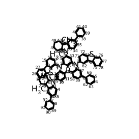 CC12CCCCC1(C)N(c1ccc3c(c1)N(c1cccc4c1sc1ccccc14)c1cc(N4c5ccc(-c6ccccc6)cc5C5(C)CCCCC45C)cc4c1B3c1ccc(-c3ccccc3)cc1N4c1ccc3sc4ccccc4c3c1)c1ccc(-c3ccccc3)cc12